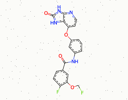 O=C(Nc1cccc(Oc2ccnc3[nH]c(=O)[nH]c23)c1)c1ccc(F)c(OCF)c1